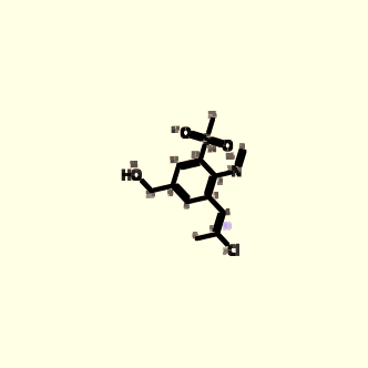 C=Nc1c(/C=C(\C)Cl)cc(CO)cc1S(C)(=O)=O